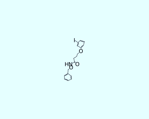 O=C(CCCOc1cccc(I)c1)NOCc1ccccc1